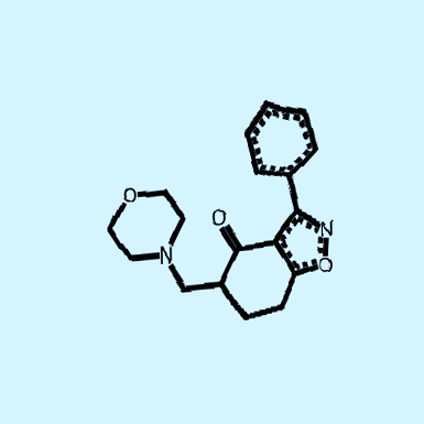 O=C1c2c(-c3ccccc3)noc2CCC1CN1CCOCC1